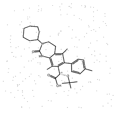 Cc1ccc(-c2c(C)c3c(c(C)c2[C@H](OC(C)(C)C)C(=O)O)NC(=O)N(C2CCCCCC2)CC3)cc1